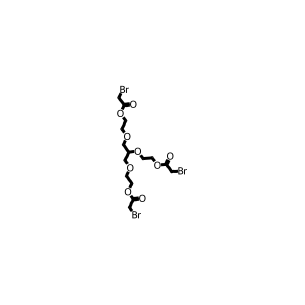 O=C(CBr)OCCOCC(COCCOC(=O)CBr)OCCOC(=O)CBr